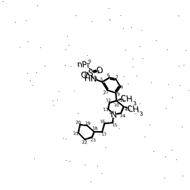 CCCS(=O)(=O)Nc1cccc([C@@]2(C)CCN(CCCC3CCCCC3)C[C@@H]2C)c1